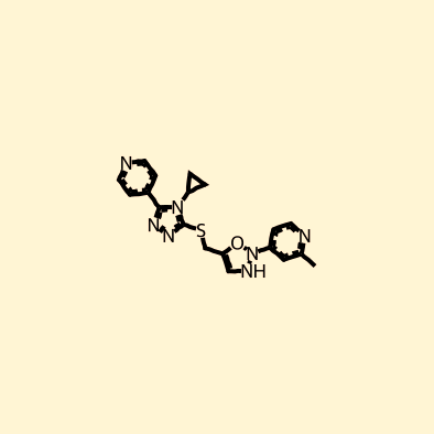 Cc1cc(N2NC=C(CSc3nnc(-c4ccncc4)n3C3CC3)O2)ccn1